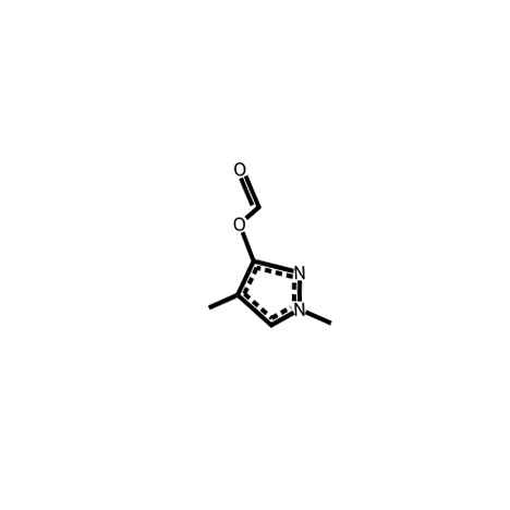 Cc1cn(C)nc1OC=O